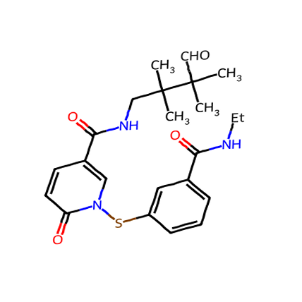 CCNC(=O)c1cccc(Sn2cc(C(=O)NCC(C)(C)C(C)(C)C=O)ccc2=O)c1